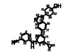 N#Cc1ccnc(Nc2cc(C3CC3)cc(-c3ccc4c(c3)ncn4[C@H]3CC[C@H](O)CC3)n2)c1